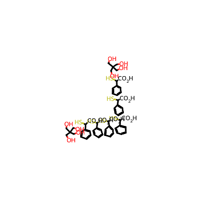 O=C(O)C(S)c1ccccc1.O=C(O)C(S)c1ccccc1.O=C(O)C(S)c1ccccc1.O=C(O)C(S)c1ccccc1.O=C(O)C(S)c1ccccc1.O=C(O)C(S)c1ccccc1.OCC(CO)(CO)CO.OCC(CO)(CO)CO